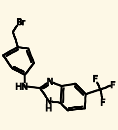 FC(F)(F)c1ccc2[nH]c(Nc3ccc(CBr)cc3)nc2c1